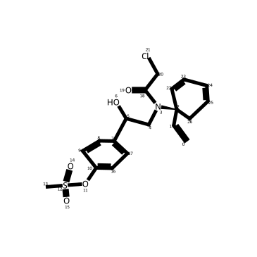 C=C[C@]1(N(CC(O)c2ccc(OS(C)(=O)=O)cc2)C(=O)CCl)C=CC=CC1